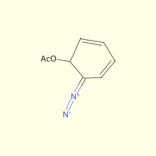 CC(=O)OC1C=CC=CC1=[N+]=[N-]